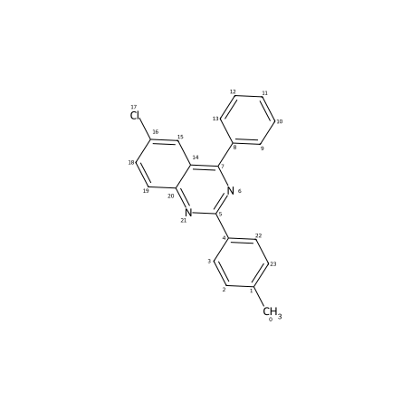 Cc1ccc(-c2nc(-c3ccccc3)c3cc(Cl)ccc3n2)cc1